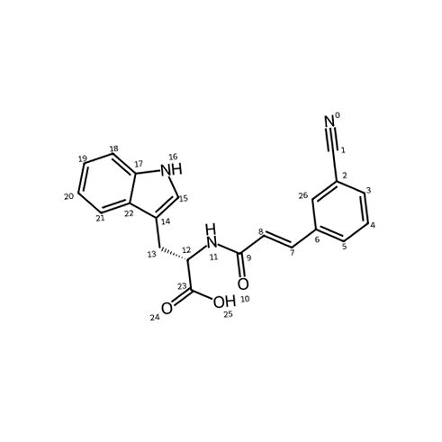 N#Cc1cccc(/C=C/C(=O)N[C@@H](Cc2c[nH]c3ccccc23)C(=O)O)c1